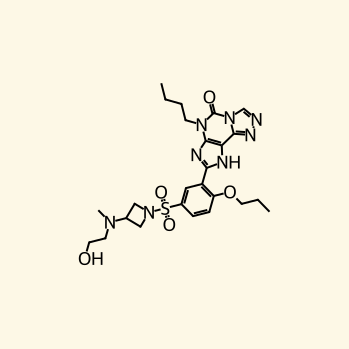 CCCCn1c(=O)n2cnnc2c2[nH]c(-c3cc(S(=O)(=O)N4CC(N(C)CCO)C4)ccc3OCCC)nc21